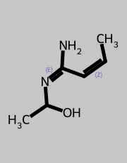 C/C=C\C(N)=N/C(C)O